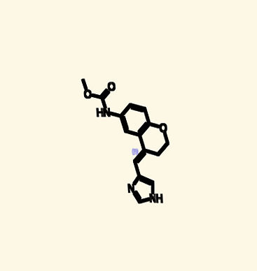 COC(=O)Nc1ccc2c(c1)/C(=C/c1c[nH]cn1)CCO2